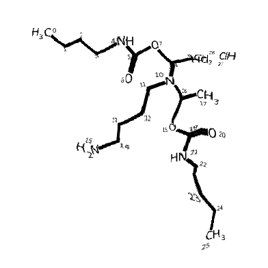 CCCCNC(=O)OC(C)N(CCCCN)C(C)OC(=O)NCCCC.Cl.Cl